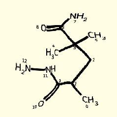 CC(CC(C)(C)C(N)=O)C(=O)NN